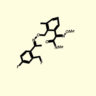 CNC(=O)/C(=N/OC)c1cccc(C)c1CO/N=C(\C)c1ccc(F)cc1CF